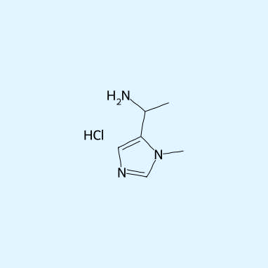 CC(N)c1cncn1C.Cl